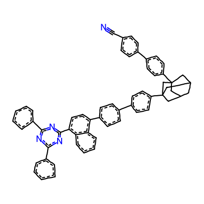 N#Cc1ccc(-c2ccc(C34CC5CC(C3)CC(c3ccc(-c6ccc(-c7ccc(-c8nc(-c9ccccc9)nc(-c9ccccc9)n8)c8ccccc78)cc6)cc3)(C5)C4)cc2)cc1